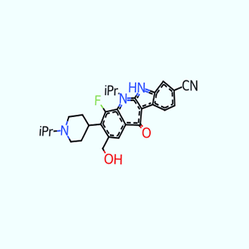 CC(C)N1CCC(c2c(CO)cc3c(=O)c4c5ccc(C#N)cc5[nH]c4n(C(C)C)c3c2F)CC1